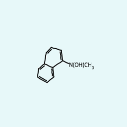 CN(O)c1cccc2ccccc12